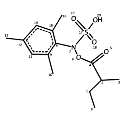 CCC(C)C(=O)ON(c1c(C)cc(C)cc1C)S(=O)(=O)O